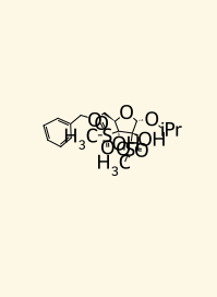 CC(C)O[C@H]1O[C@H](COCc2ccccc2)[C@](O)(S(C)(=O)=O)[C@@]1(O)S(C)(=O)=O